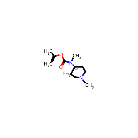 C=C(C)OC(=O)N(C)[C@H]1CCN(C)C[C@H]1F